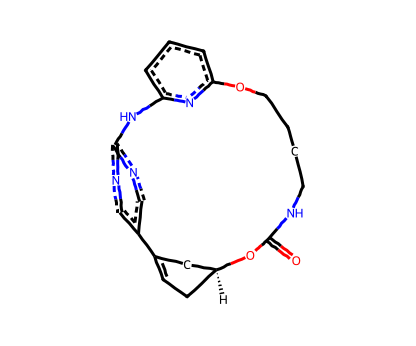 O=C1NCCCCOc2cccc(n2)Nc2ncc(cn2)C2=CC[C@@H](C2)O1